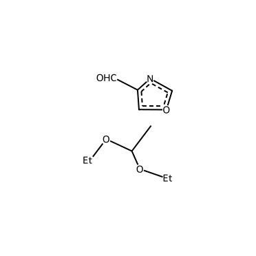 CCOC(C)OCC.O=Cc1cocn1